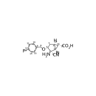 N#C[C@@]1(N)[C@H]2[C@@H](C[C@H]1OCc1ccc(F)cc1)[C@@H]2C(=O)O